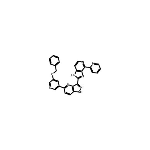 c1ccc(COc2cncc(-c3ccc4[nH]nc(-c5nc6c(-c7ccccn7)nccc6[nH]5)c4n3)c2)cc1